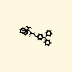 CC(C)C1(OC(=O)COc2ccc([S+](c3ccccc3)c3ccccc3)cc2)C2CC3CC(C2)CC1C3